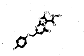 CCNC(=O)c1c(C)sc2nc(COc3ccc(F)cc3)cc(=O)n12